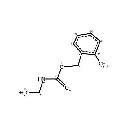 [CH2]CNC(=O)OCc1ccccc1C